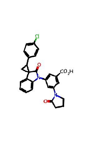 O=C(O)c1cc(N2CCCC2=O)cc(N2C(=O)C3(CC3c3ccc(Cl)cc3)c3ccccc32)c1